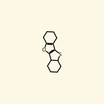 C1CCc2c(oc3c2SC2CCCCC32)C1